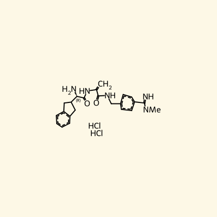 C=C(NC(=O)[C@H](N)C1Cc2ccccc2C1)C(=O)NCc1ccc(C(=N)NC)cc1.Cl.Cl